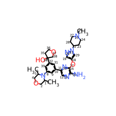 CC1COCC(C)N1c1cc(-c2cnc(N)c(Oc3cnn(C4CCN(C)CC4)c3)n2)cc(C2(O)CCOC2)c1